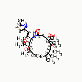 COC1[C@@H](/C(C)=C/c2csc(C)n2)NC(=O)C[C@H](O)C(C)(C)C(=O)[C@H](C)[C@@H](C)[C@@H](C)CCC[C@@]2(C)O[C@@H]12